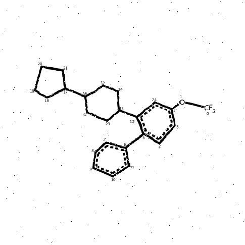 FC(F)(F)Oc1ccc(-c2ccccc2)c(C2CCC(C3CCCC3)CC2)c1